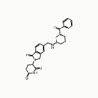 O=C1CCC(N2Cc3cc(CN[C@@H]4CCCN(C(=O)c5ccccc5)C4)ccc3C2=O)C(=O)N1